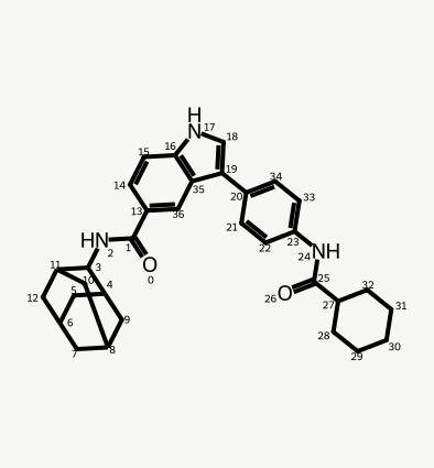 O=C(NC1C2CC3CC(C2)CC1C3)c1ccc2[nH]cc(-c3ccc(NC(=O)C4CCCCC4)cc3)c2c1